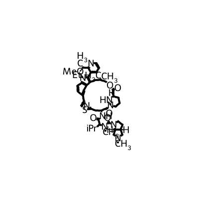 CCn1c(-c2cccnc2[C@H](C)OC)c2c3cc(ccc31)-c1csc(n1)C[C@H](NC(=O)C(C(C)C)N(C)C(=O)N1CC[C@@H]3CN(C)C[C@@H]31)C(=O)N1CCC[C@H](N1)C(=O)OCC(C)(C)C2